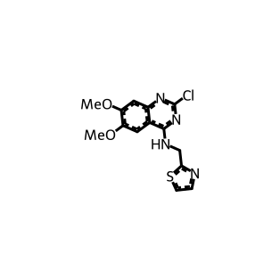 COc1cc2nc(Cl)nc(NCc3nccs3)c2cc1OC